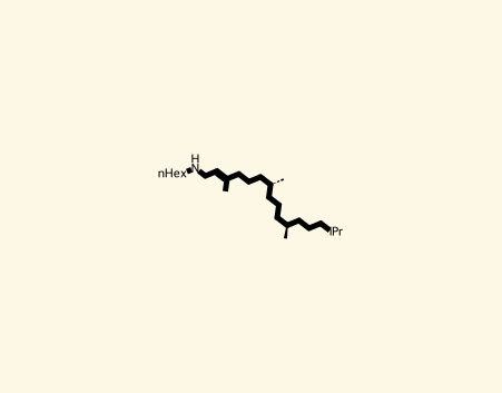 CCCCCCNC/C=C(\C)CCC[C@H](C)CCC[C@H](C)CCCC(C)C